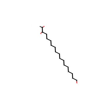 CCOC(=O)C(O)C(O)CCCCCCCCCCCCCCCO